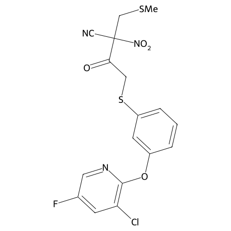 CSCC(C#N)(C(=O)CSc1cccc(Oc2ncc(F)cc2Cl)c1)[N+](=O)[O-]